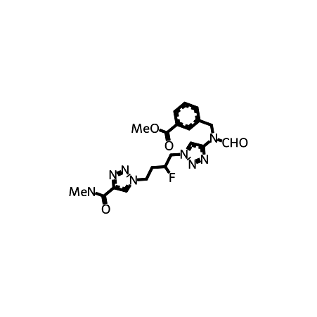 CNC(=O)c1cn(CCC(F)Cn2cc(N(C=O)Cc3cccc(C(=O)OC)c3)nn2)nn1